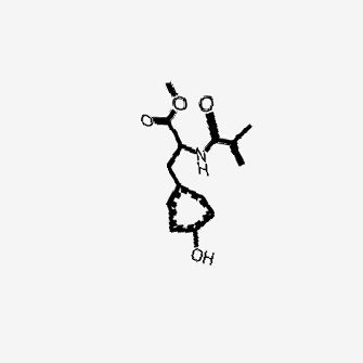 C=C(C)C(=O)NC(Cc1ccc(O)cc1)C(=O)OC